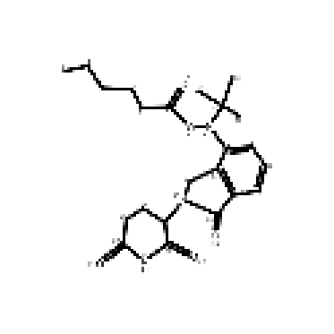 CCCCCC(=O)ON(c1cccc2c1CN(C1CCC(=O)NC1=O)C2=O)C(C)(C)C